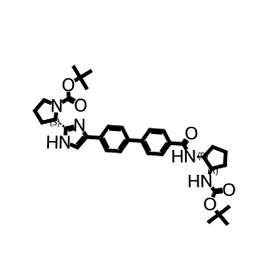 CC(C)(C)OC(=O)N[C@@H]1CCC[C@H]1NC(=O)c1ccc(-c2ccc(-c3c[nH]c([C@@H]4CCCN4C(=O)OC(C)(C)C)n3)cc2)cc1